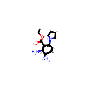 CCOC(=O)c1c(N2CCCC2)ccc(N)c1N